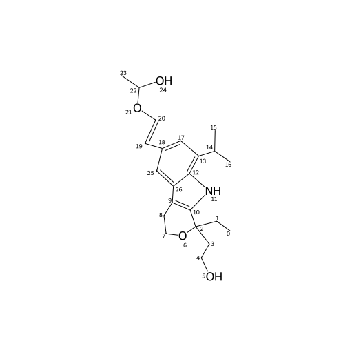 CCC1(CCO)OCCc2c1[nH]c1c(C(C)C)cc(/C=C/OC(C)O)cc21